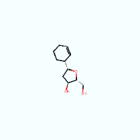 OC[C@H]1O[C@@H](C2C=CCCC2)C[C@@H]1O